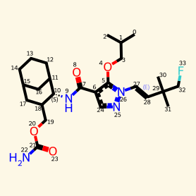 CC(C)COc1c(C(=O)N[C@H]2C3CCCC(C3)CC2COC(N)=O)cnn1/C=C/C(C)(C)CF